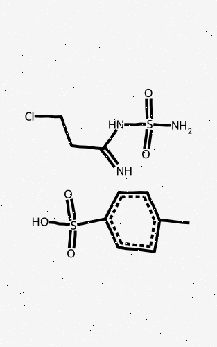 Cc1ccc(S(=O)(=O)O)cc1.N=C(CCCl)NS(N)(=O)=O